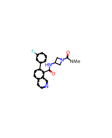 CNC(=O)N1CC(NC(=O)c2c(-c3cccc(F)c3)ccc3ccncc23)C1